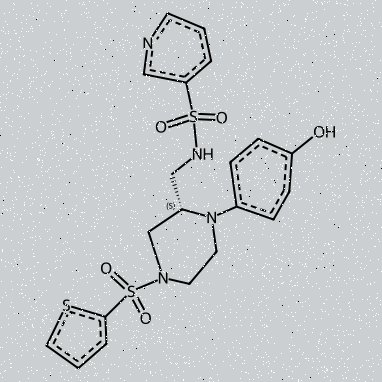 O=S(=O)(NC[C@H]1CN(S(=O)(=O)c2cccs2)CCN1c1ccc(O)cc1)c1cccnc1